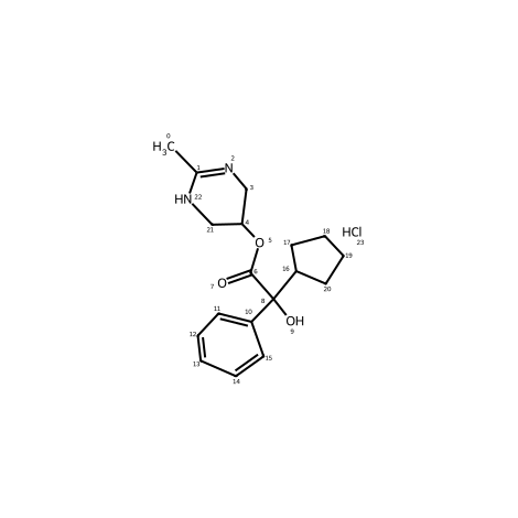 CC1=NCC(OC(=O)C(O)(c2ccccc2)C2CCCC2)CN1.Cl